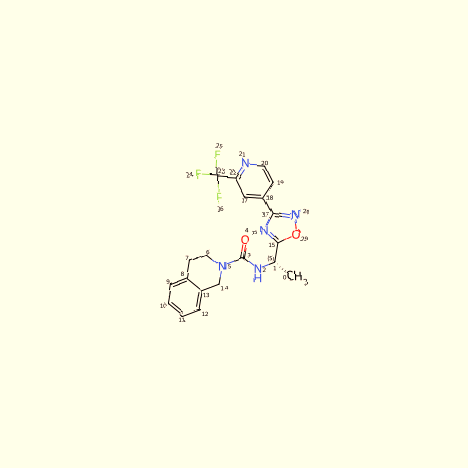 C[C@H](NC(=O)N1CCc2ccccc2C1)c1nc(-c2ccnc(C(F)(F)F)c2)no1